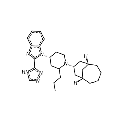 CCCC1C[C@H](n2c(-c3nnc[nH]3)nc3ccccc32)CCN1[C@@H]1C[C@@H]2CCCC[C@@H](C2)C1